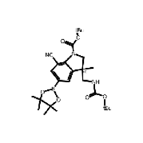 CC(C)(C)OC(=O)NC[C@@]1(C)CN(C(=O)OC(C)(C)C)c2c(C#N)cc(B3OC(C)(C)C(C)(C)O3)cc21